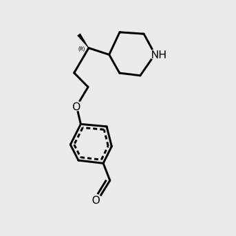 C[C@H](CCOc1ccc(C=O)cc1)C1CCNCC1